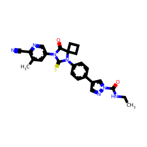 CCNC(=O)n1cc(-c2ccc(N3C(=S)N(c4cnc(C#N)c(C)c4)C(=O)C34CCC4)cc2)cn1